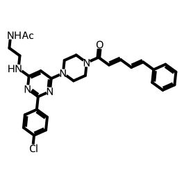 CC(=O)NCCNc1cc(N2CCN(C(=O)C=CC=Cc3ccccc3)CC2)nc(-c2ccc(Cl)cc2)n1